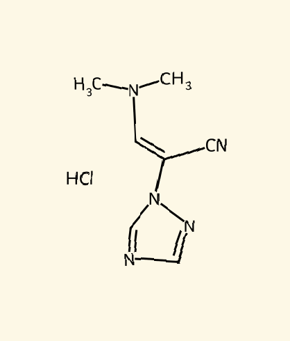 CN(C)C=C(C#N)n1cncn1.Cl